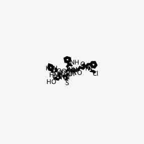 CSCC[C@H](NC(=O)[C@H](Cc1c[nH]c2ccccc12)NC(=O)[C@H](C)NC(=O)CCC(=O)N(Cc1ccccc1)N=NCCCl)C(=O)N[C@@H](CC(=O)O)C(=O)N[C@@H](Cc1ccccc1)C(N)=O